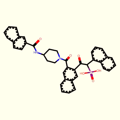 O=C(NC1CCN(C(=O)c2cc3ccccc3cc2C(=O)C(c2cccc3ccccc23)P(=O)(O)O)CC1)c1ccc2ccccc2c1